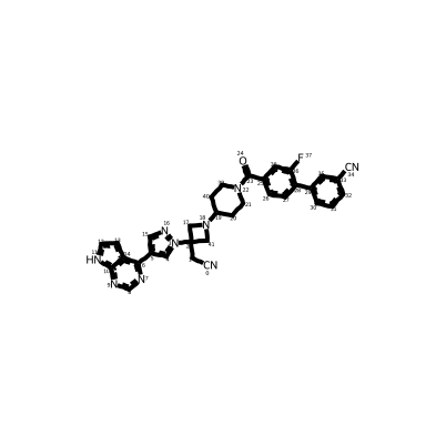 N#CCC1(n2cc(-c3ncnc4[nH]ccc34)cn2)CN(C2CCN(C(=O)c3ccc(-c4cccc(C#N)c4)c(F)c3)CC2)C1